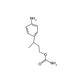 CC(CCOC(N)=O)c1ccc(N)cc1